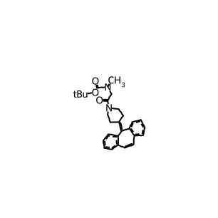 CN(CC(=O)N1CCC(=C2c3ccccc3C=Cc3ccccc32)CC1)C(=O)OC(C)(C)C